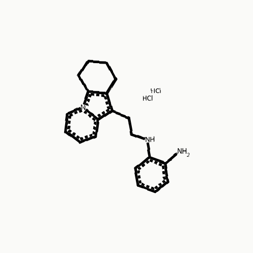 Cl.Cl.Nc1ccccc1NCCc1c2c(n3ccccc13)CCCC2